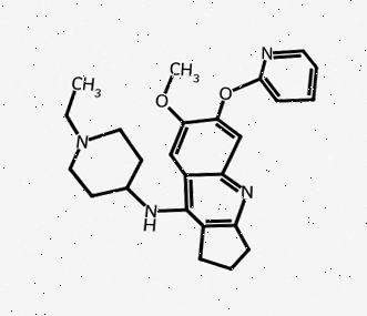 CCN1CCC(Nc2c3c(nc4cc(Oc5ccccn5)c(OC)cc24)CCC3)CC1